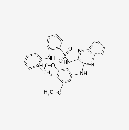 COc1cc(Nc2nc3ccccc3nc2NS(=O)(=O)c2ccccc2Nc2ccccc2C)cc(OC)c1